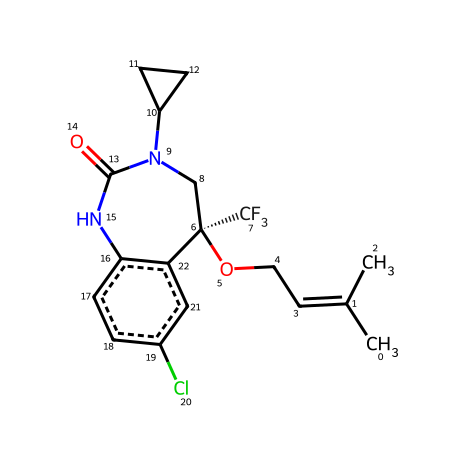 CC(C)=CCO[C@]1(C(F)(F)F)CN(C2CC2)C(=O)Nc2ccc(Cl)cc21